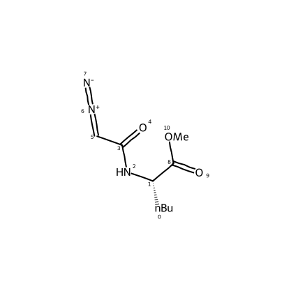 CCCC[C@H](NC(=O)C=[N+]=[N-])C(=O)OC